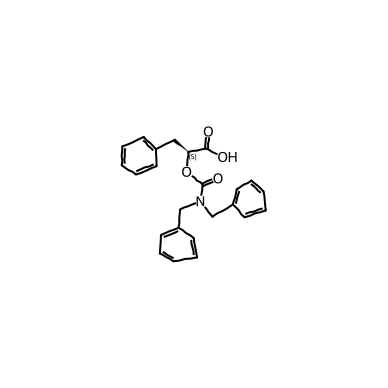 O=C(O)[C@H](Cc1ccccc1)OC(=O)N(Cc1ccccc1)Cc1ccccc1